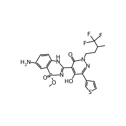 COP1(=O)N=C(c2c(O)c(-c3ccsc3)nn(CCC(C)C(F)(F)F)c2=O)Nc2ccc(N)cc21